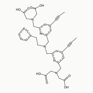 CC#Cc1cc(CN(CC(=O)O)CC(=O)O)nc(CN(CCc2ccccc2)Cc2cc(C#CC)cc(CN(CC(=O)O)CC(=O)O)n2)c1